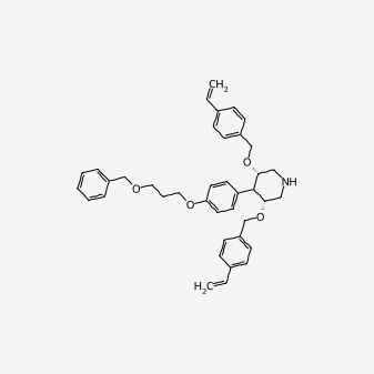 C=Cc1ccc(CO[C@H]2CNC[C@@H](OCc3ccc(C=C)cc3)C2c2ccc(OCCCOCc3ccccc3)cc2)cc1